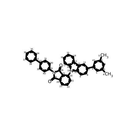 Cc1cc(C)cc(-c2ccc3c(c2)c2ccccc2n3-c2cccc3c2C(=O)N(c2ccc(-c4ccccc4)cc2)C3=O)c1